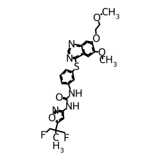 COCCOc1cc2ncnc(Sc3cccc(NC(=O)Nc4cc(C(C)(CF)CF)on4)c3)c2cc1OC